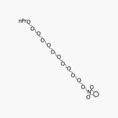 CCCOCCOCCOCCOCCOCCOCCOCCOCCOCCOCCOCCOCCN1C(=O)c2ccccc2C1=O